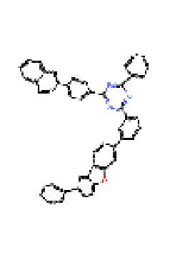 c1ccc(-c2ccc3oc4cc(-c5cccc(-c6nc(-c7ccccc7)nc(-c7ccc(-c8ccc9ccccc9c8)cc7)n6)c5)ccc4c3c2)cc1